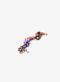 Cc1c(Br)cccc1S(=O)(=O)N1CCC2(CC1)C[C@H](NC[C@H](O)COc1cccc(S(=O)(=O)C3(CO)CC3)c1)CO2